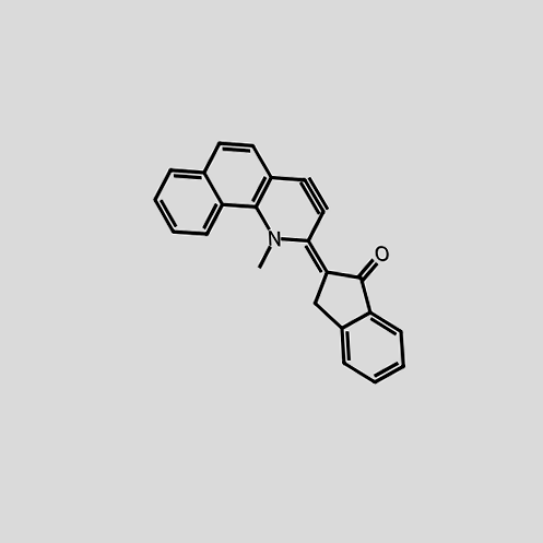 CN1/C(=C2\Cc3ccccc3C2=O)C#Cc2ccc3ccccc3c21